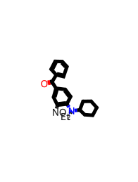 CCN(c1ccc(C(=O)c2ccccc2)cc1[N+](=O)[O-])C1CCCCC1